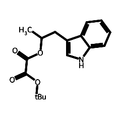 CC(Cc1c[nH]c2ccccc12)OC(=O)C(=O)OC(C)(C)C